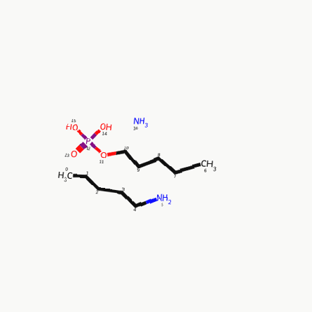 CCCCCN.CCCCCOP(=O)(O)O.N